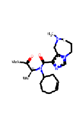 CNC(=O)[C@@H](N(C(=O)c1ncn2c1CN(C)CCC2)C1CC=CCCC1)C(C)(C)C